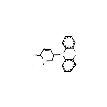 CC(C)(C)C1C=CC(N2c3ccccc3Oc3ccccc32)CN1C(=O)O